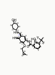 CC(F)(F)c1cccc(C(=O)NC2=C/C(=C/N[C@H]3CC[C@H](O)CC3)C(=N)C=C2OCC2CC2)[n+]1O